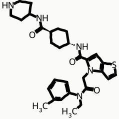 CCN(C(=O)Cn1c(C(=O)N[C@H]2CC[C@H](C(=O)NC3CCNCC3)CC2)cc2sccc21)c1cccc(C)c1